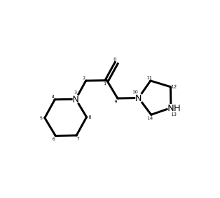 C=C(CN1CCCCC1)CN1CCNC1